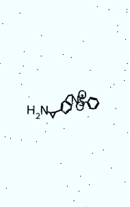 NC1CC1c1ccc2c(c1)CCN2S(=O)(=O)c1ccccc1